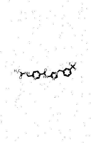 CC(=O)NCc1ccc(C(=O)Nc2cn(Cc3cccc(C(F)(F)F)c3)cn2)cn1